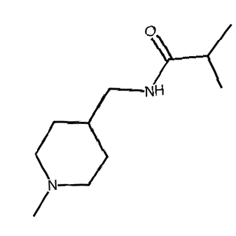 CC(C)C(=O)NCC1CCN(C)CC1